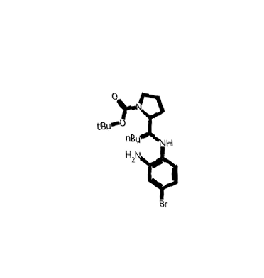 CCCCC(Nc1ccc(Br)cc1N)C1CCCN1C(=O)OC(C)(C)C